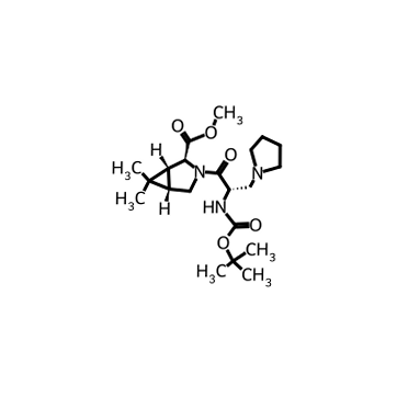 COC(=O)[C@@H]1[C@@H]2[C@H](CN1C(=O)[C@H](CN1CCCC1)NC(=O)OC(C)(C)C)C2(C)C